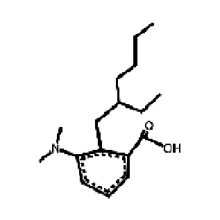 CCCCC(CC)Cc1c(C(=O)O)cccc1N(C)C